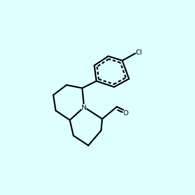 O=CC1CCCC2CCCC(c3ccc(Cl)cc3)N12